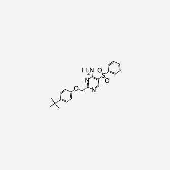 CC(C)(C)c1ccc(OCc2ncc(S(=O)(=O)c3ccccc3)c(N)n2)cc1